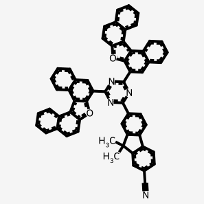 CC1(C)c2cc(C#N)ccc2-c2ccc(-c3nc(-c4cc5ccccc5c5c4oc4ccc6ccccc6c45)nc(-c4cc5ccccc5c5c4oc4ccc6ccccc6c45)n3)cc21